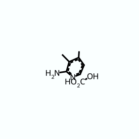 Cc1ccnc(N)c1C.O=C(O)O